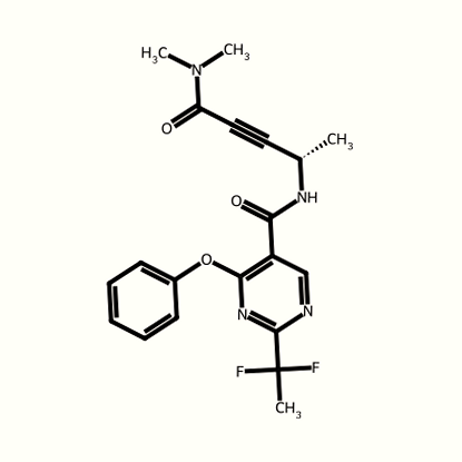 C[C@@H](C#CC(=O)N(C)C)NC(=O)c1cnc(C(C)(F)F)nc1Oc1ccccc1